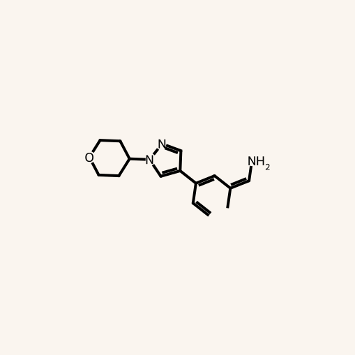 C=C/C(=C\C(C)=C/N)c1cnn(C2CCOCC2)c1